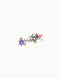 CN1C(=O)N(CCCCCOc2c(Cl)cc(C(O)(C(F)(F)F)C(F)(F)F)cc2Cl)C(=O)C1(C)C